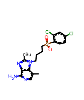 CCCCc1nc2c(N)ncc(C)c2n1CCCCS(=O)(=O)c1ccc(Cl)cc1Cl